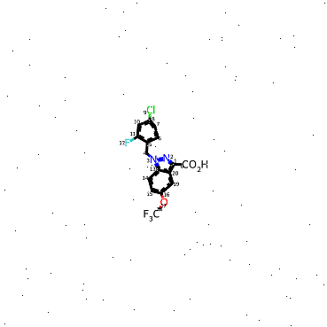 O=C(O)c1nn(Cc2ccc(Cl)cc2F)c2ccc(OC(F)(F)F)cc12